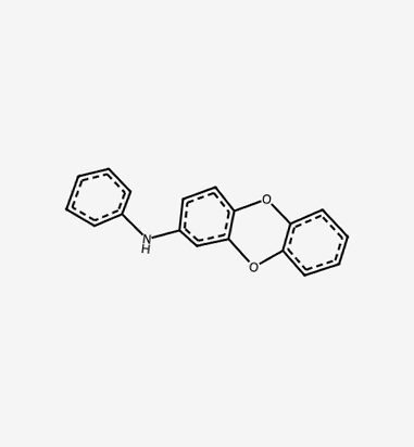 c1ccc(Nc2ccc3c(c2)Oc2ccccc2O3)cc1